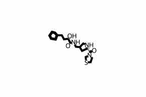 O=C(NCC1CN[C@H](C(=O)N2CCSC2)C1)C(O)CCc1ccccc1